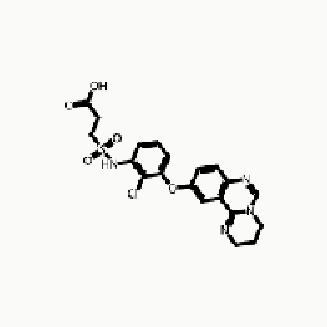 O=C(O)CCS(=O)(=O)Nc1cccc(Oc2ccc3c(c2)C2=NCCCN2C=N3)c1Cl